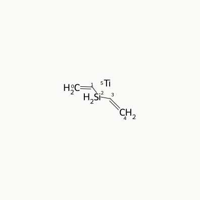 C=C[SiH2]C=C.[Ti]